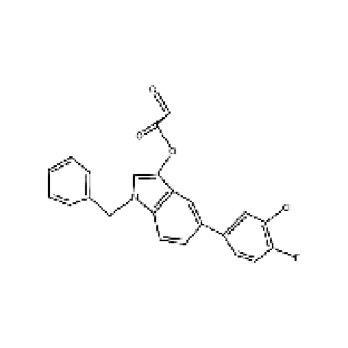 O=CC(=O)Oc1cn(Cc2ccccc2)c2ccc(-c3ccc(F)c(Cl)c3)cc12